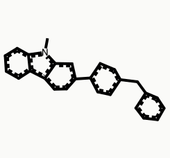 Cn1c2ccccc2c2ccc(-c3ccc(Cc4ccccc4)cc3)cc21